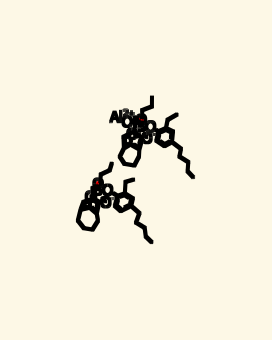 CCCCCc1ccc(OP(=O)([O-])Oc2c3cc(CCCCC)cc2CCCC3)c(CC)c1.CCCCCc1ccc(OP(=O)([O-])Oc2c3cc(CCCCC)cc2CCCC3)c(CC)c1.[OH][Al+2]